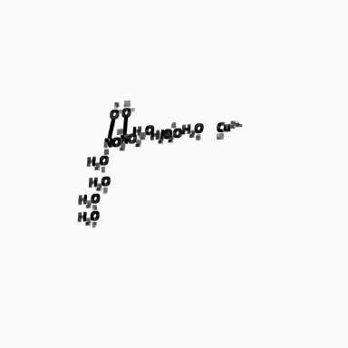 O.O.O.O.O.O.O.O.O=[N+]([O-])[O-].O=[N+]([O-])[O-].[Cu+2]